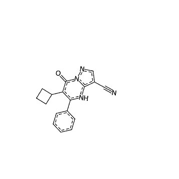 N#Cc1cnn2c(=O)c(C3CCC3)c(-c3ccccc3)[nH]c12